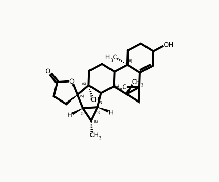 C[C@H]1[C@H]2C3C4C(CC[C@]3(C)[C@]3(CCC(=O)O3)[C@@H]12)[C@@]1(C)CCC(O)C=C1C1(C)CC41C